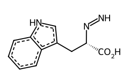 N=N[C@@H](Cc1c[nH]c2ccccc12)C(=O)O